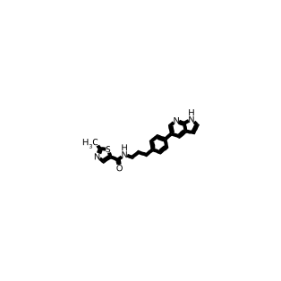 Cc1ncc(C(=O)NCCCc2ccc(-c3cnc4[nH]ccc4c3)cc2)s1